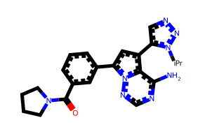 CC(C)n1nncc1-c1cc(-c2cccc(C(=O)N3CCCC3)c2)n2ncnc(N)c12